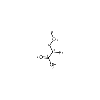 COCC(F)C(=O)O